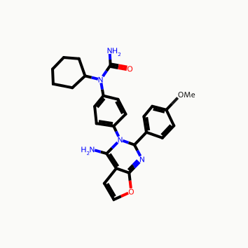 COc1ccc(C2N=c3occc3=C(N)N2c2ccc(N(C(N)=O)C3CCCCC3)cc2)cc1